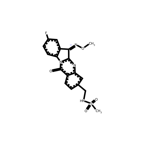 CO/N=C1/c2cc(F)ccc2-n2c1nc1cc(CNS(C)(=O)=O)ccc1c2=O